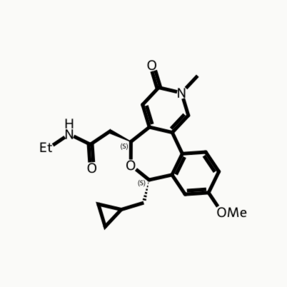 CCNC(=O)C[C@@H]1O[C@@H](CC2CC2)c2cc(OC)ccc2-c2cn(C)c(=O)cc21